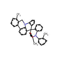 Cc1ccccc1N1c2ccccc2C2(c3ccccc3N3Cc4c(cccc4C(F)(F)F)-c4cccc2c43)c2cccc(C)c21